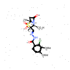 COc1ccc(C(=O)N/N=C/[C@@]2(C)[C@H](C(=O)O)N3C(=O)C[C@H]3S2(=O)=O)c(Cl)c1OC